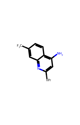 CCCc1cc(N)c2ccc(C(F)(F)F)cc2n1